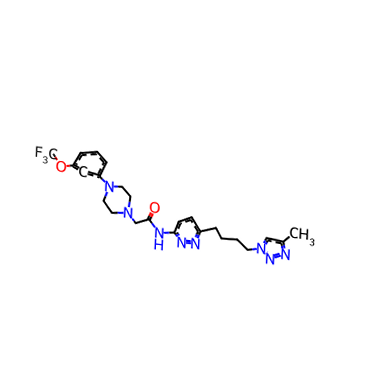 Cc1cn(CCCCc2ccc(NC(=O)CN3CCN(c4cccc(OC(F)(F)F)c4)CC3)nn2)nn1